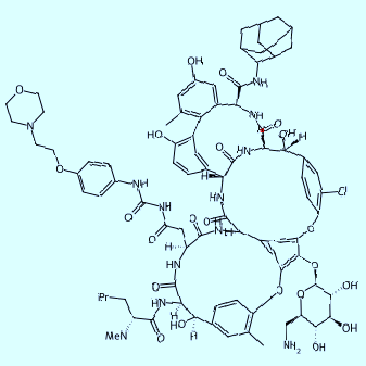 CN[C@H](CC(C)C)C(=O)N[C@H]1C(=O)N[C@@H](CC(=O)NC(=O)Nc2ccc(OCCN3CCOCC3)cc2)C(=O)N[C@H]2C(=O)N[C@H]3C(=O)N[C@H](C(=O)N[C@H](C(=O)NC4C5CC6CC(C5)CC4C6)c4cc(O)cc(C)c4-c4cc3ccc4O)[C@H](O)c3ccc(c(Cl)c3)Oc3cc2cc(c3O[C@@H]2O[C@H](CN)[C@@H](O)[C@H](O)[C@H]2O)Oc2ccc(cc2C)[C@H]1O